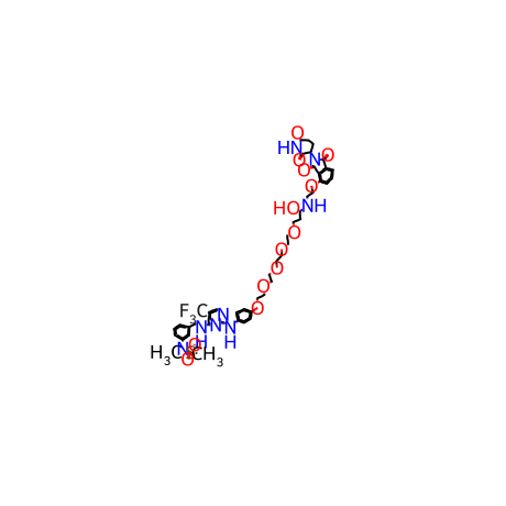 CN(c1cccc(CNc2nc(Nc3ccc(OCCOCCOCCOCCOCCC(O)NCCOc4cccc5c4C(=O)N(C4CCC(=O)NC4=O)C5=O)cc3)ncc2C(F)(F)F)c1)S(C)(=O)=O